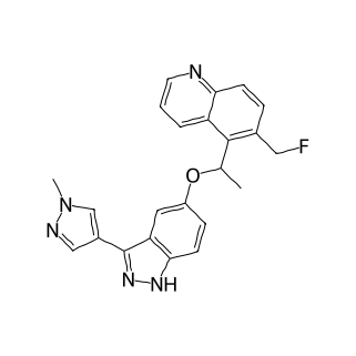 CC(Oc1ccc2[nH]nc(-c3cnn(C)c3)c2c1)c1c(CF)ccc2ncccc12